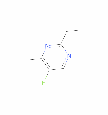 CCc1ncc(F)c(C)n1